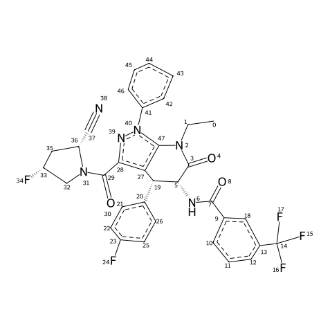 CCN1C(=O)[C@H](NC(=O)c2cccc(C(F)(F)F)c2)[C@H](c2ccc(F)cc2)c2c(C(=O)N3C[C@H](F)C[C@@H]3C#N)nn(-c3ccccc3)c21